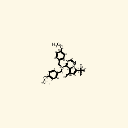 COc1ccc(CN(Cc2ccc(OC)cc2)c2ncnn3c(C(F)(F)F)cc(I)c23)cc1